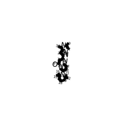 Cc1cn2nc(-c3cc(=O)n4cc(N5C(C)(C)C=CCC5(C)C)ccc4n3)cc2c(C)n1